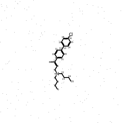 CCCCN(CC=C(C)c1ccc(-c2ccc(Cl)cc2)cc1)CCCC